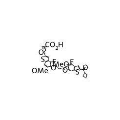 COc1cc2sc(C(=O)C[C@H](C)C(=O)O)cc2c(F)c1OCCCOc1cc2sc(C(=O)C3CCC3)cc2c(F)c1OC